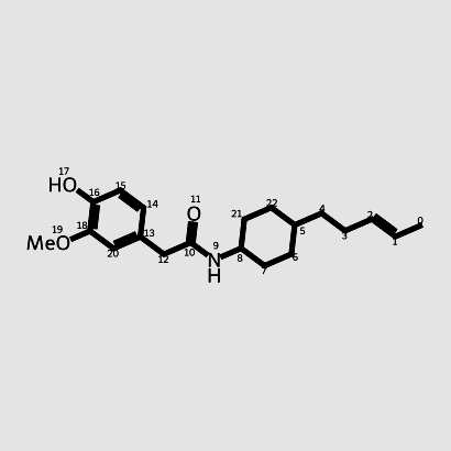 CC=CCCC1CCC(NC(=O)Cc2ccc(O)c(OC)c2)CC1